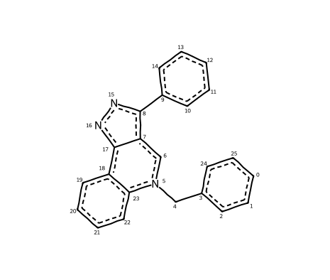 c1ccc(Cn2cc3c(-c4ccccc4)nnc-3c3ccccc32)cc1